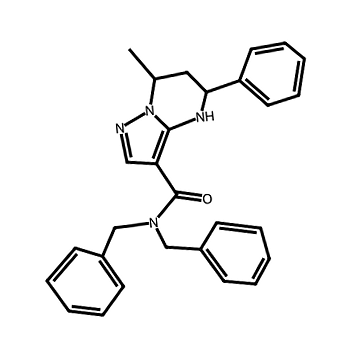 CC1CC(c2ccccc2)Nc2c(C(=O)N(Cc3ccccc3)Cc3ccccc3)cnn21